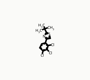 CC(C)(C)c1nc(-c2ccc(Cl)c(Cl)c2Cl)cs1